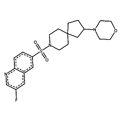 O=S(=O)(c1ccc2ncc(F)cc2c1)N1CCC2(CCC(N3CCOCC3)C2)CC1